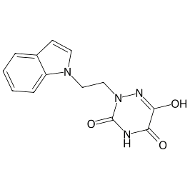 O=c1[nH]c(=O)n(CCn2ccc3ccccc32)nc1O